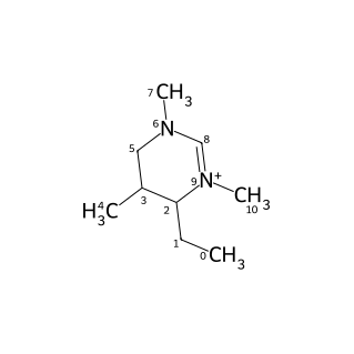 CCC1C(C)CN(C)C=[N+]1C